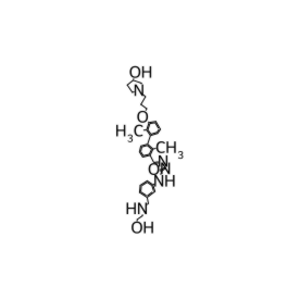 Cc1c(OCCCN2CC[C@H](O)C2)cccc1-c1cccc(-c2nnc(Nc3cccc(CNCCO)c3)o2)c1C